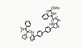 COC(=O)N[C@@H](C(=O)N(C)[C@@H](C)C1=NCC(c2ccc(-c3ccc(-c4cnc([C@@H]5CCCN5C(=O)[C@@H](c5ccccc5)N(C)C)[nH]4)cc3)cc2)N1)c1ccccc1